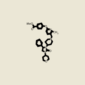 COC(=O)c1ccc(Oc2ccc(CN3CCC(N4C(=O)N(C5CCOCC5)CC4c4ccccc4)CC3)c(C)n2)cc1